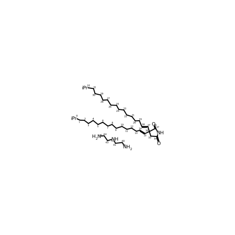 CC(C)CCCCCCCCCCCCCC=CC1(C=CCCCCCCCCCCCCCC(C)C)CC(=O)NC1=O.NCCNCCN